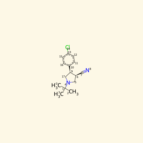 CC(C)(C)N1C[C@H](C#N)[C@H](c2ccc(Cl)cc2)C1